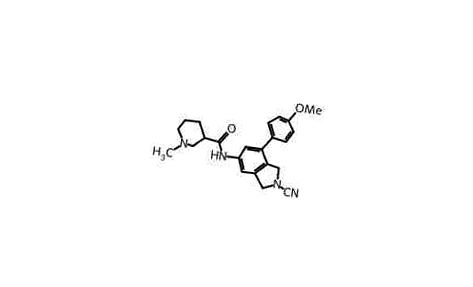 COc1ccc(-c2cc(NC(=O)C3CCCN(C)C3)cc3c2CN(C#N)C3)cc1